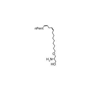 CCCCC/C=C\C/C=C\CCCCCCCCOCC(N)CO